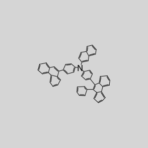 c1ccc(-c2c(-c3ccc(N(c4ccc(-c5cc6ccccc6c6ccccc56)cc4)c4ccc5ccccc5c4)cc3)c3ccccc3c3ccccc23)cc1